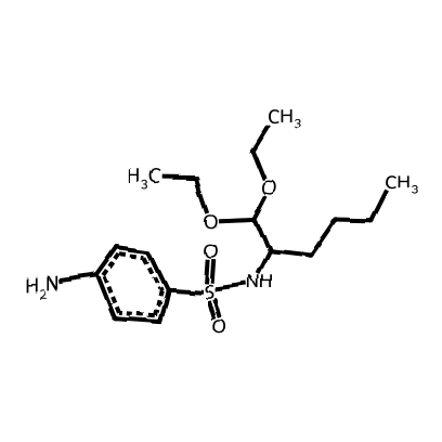 CCCCC(NS(=O)(=O)c1ccc(N)cc1)C(OCC)OCC